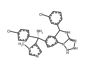 Cn1cncc1[C@@](N)(c1ccc(Cl)cc1)c1ccc2c(c1)C(c1cccc(Cl)c1)NC1=NNNN12